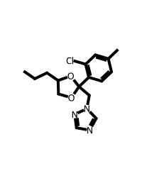 CCCC1COC(Cn2cncn2)(c2ccc(C)cc2Cl)O1